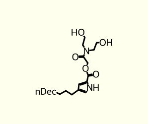 CCCCCCCCCCCCCc1c[nH]c(C(=O)OCC(=O)N(CCO)CCO)c1